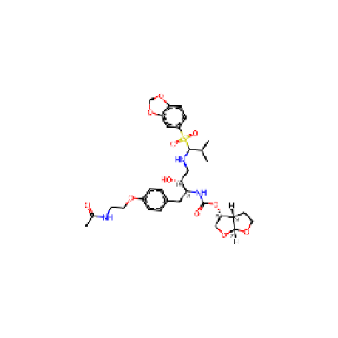 CC(=O)NCCOc1ccc(C[C@H](NC(=O)O[C@H]2CO[C@H]3OCC[C@H]32)[C@H](O)CNC(C(C)C)S(=O)(=O)c2ccc3c(c2)OCO3)cc1